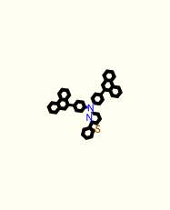 c1ccc2c(c1)cc(-c1ccc(N(c3ccc(-c4cc5ccccc5c5ccccc45)cc3)c3ccc4sc5ccccc5c4n3)cc1)c1ccccc12